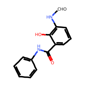 O=CNc1cccc(C(=O)Nc2ccccc2)c1O